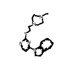 CN1CCN(CCSc2nccc(-n3ccc4ccccc43)n2)CC1